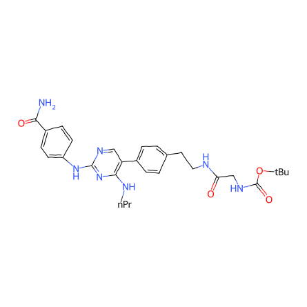 CCCNc1nc(Nc2ccc(C(N)=O)cc2)ncc1-c1ccc(CCNC(=O)CNC(=O)OC(C)(C)C)cc1